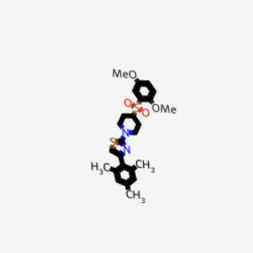 COc1ccc(OC)c(S(=O)(=O)C2CCN(c3nc(-c4c(C)cc(C)cc4C)cs3)CC2)c1